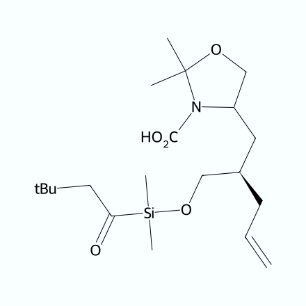 C=CC[C@@H](CO[Si](C)(C)C(=O)CC(C)(C)C)CC1COC(C)(C)N1C(=O)O